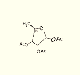 CC(=O)OC1O[C@H](C)C(OC(C)=O)C1OC(C)=O